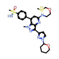 Cn1nc(-c2ccn(C3CCCCO3)n2)c2nc(N3CCOC[SH]3C)cc(-c3ccc(S(C)(=N)=O)cc3)c21